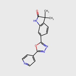 CC1(C)C(=O)Nc2cc(-c3nnc(-c4ccncc4)o3)ccc21